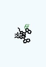 CCCC1=Cc2c(-c3cccc4ccccc34)cccc2[CH]1[Hf+2]1([CH]2C(CCC)=Cc3c(-c4cccc5ccccc45)cccc32)[CH2]C[CH2]1.[Cl-].[Cl-]